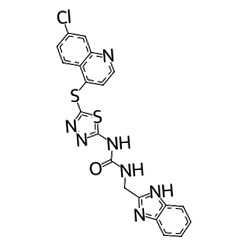 O=C(NCc1nc2ccccc2[nH]1)Nc1nnc(Sc2ccnc3cc(Cl)ccc23)s1